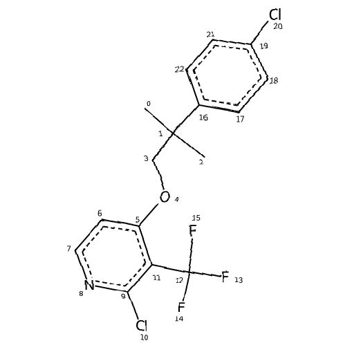 CC(C)(COc1ccnc(Cl)c1C(F)(F)F)c1ccc(Cl)cc1